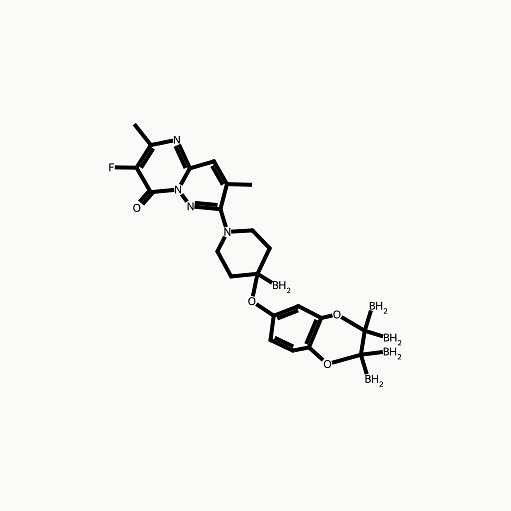 BC1(Oc2ccc3c(c2)OC(B)(B)C(B)(B)O3)CCN(c2nn3c(=O)c(F)c(C)nc3cc2C)CC1